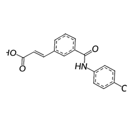 Cc1ccc(NC(=O)c2cccc(C=CC(=O)O)c2)cc1